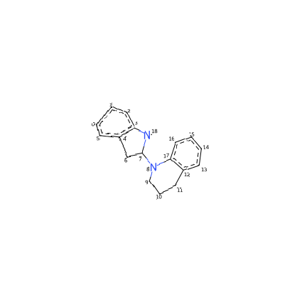 c1ccc2c(c1)CC(N1CCCc3ccccc31)[N]2